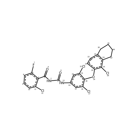 O=C(NC(=O)c1c(F)cccc1Cl)Nc1cc(Cl)c(Oc2ccc3c(c2Cl)CCCC3)c(Cl)c1